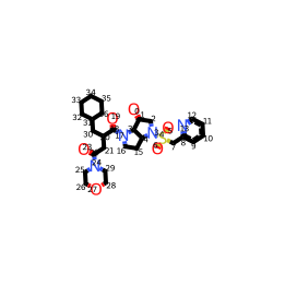 O=C1CN(S(=O)(=O)Cc2ccccn2)C2CCN(C(=O)C(CC(=O)N3CCOCC3)CC3CCCCC3)C12